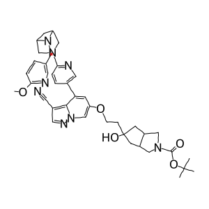 COc1ccc(CN2C3CC2CN(c2ccc(-c4cc(OCCC5(O)CC6CN(C(=O)OC(C)(C)C)CC6C5)cn5ncc(C#N)c45)cn2)C3)cn1